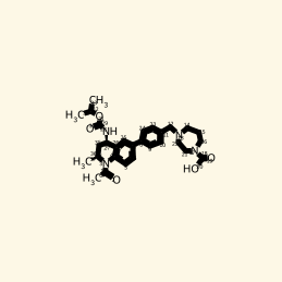 CC(=O)N1c2ccc(-c3ccc(CN4CCCN(C(=O)O)CC4)cc3)cc2[C@H](NC(=O)OC(C)C)C[C@@H]1C